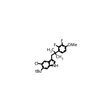 COc1ccc(C(C)(C)Cc2c[nH]c3cc(C(C)(C)C)c(Cl)cc23)c(F)c1F